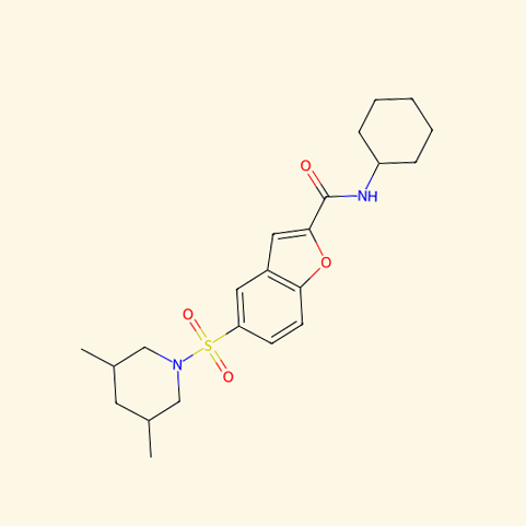 CC1CC(C)CN(S(=O)(=O)c2ccc3oc(C(=O)NC4CCCCC4)cc3c2)C1